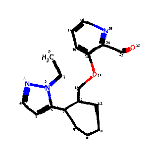 CCn1nccc1C1CCCCC1COc1cccnc1C=O